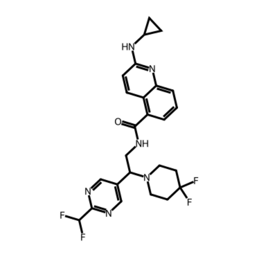 O=C(NCC(c1cnc(C(F)F)nc1)N1CCC(F)(F)CC1)c1cccc2nc(NC3CC3)ccc12